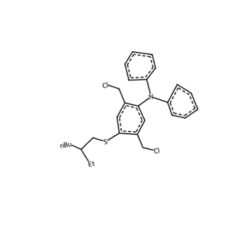 CCCCC(CC)CSc1cc(CCl)c(N(c2ccccc2)c2ccccc2)cc1CCl